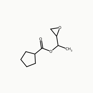 CC(OC(=O)C1CCCC1)C1CO1